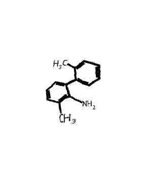 Cc1ccccc1-c1cccc(C)c1N